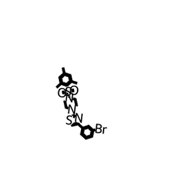 Cc1cc(C)c(S(=O)(=O)N2CCN(c3nc(-c4cccc(Br)c4)cs3)CC2)c(C)c1